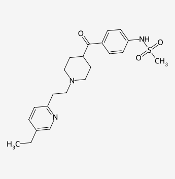 CCc1ccc(CCN2CCC(C(=O)c3ccc(NS(C)(=O)=O)cc3)CC2)nc1